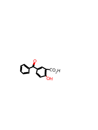 O=C(c1ccccc1)c1ccc(O)c(C(=O)O)c1